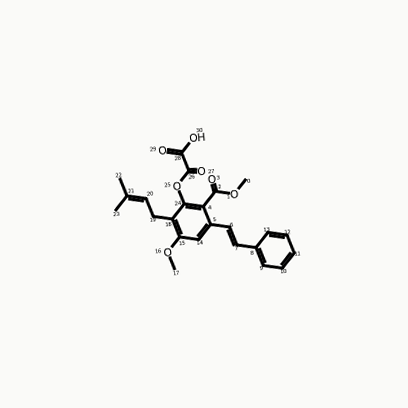 COC(=O)c1c(/C=C/c2ccccc2)cc(OC)c(CC=C(C)C)c1OC(=O)C(=O)O